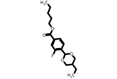 CCCCCOC(=O)c1ccc(C2OCC(CC)CO2)c(F)c1